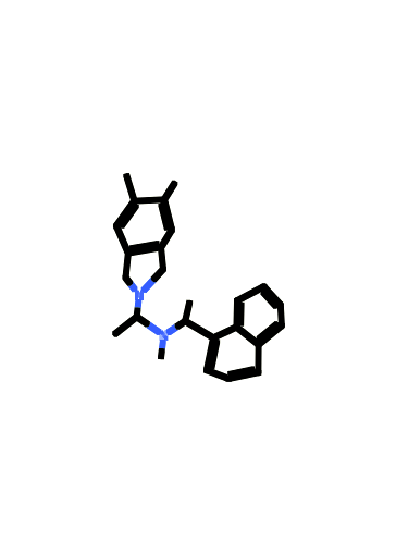 Cc1cc2c(cc1C)CN(C(C)N(C)C(C)c1cccc3ccccc13)C2